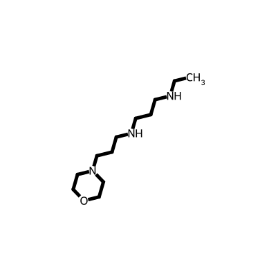 CCNCCCNCCCN1CCOCC1